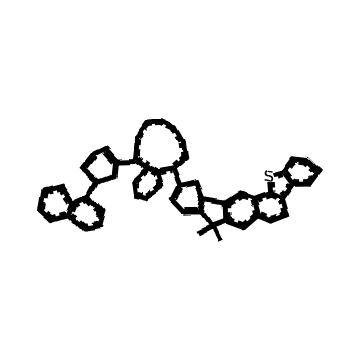 CC1(C)C2=CC=C(c3ccccccc(C4=CC=CC(c5cccc6ccccc56)C4)c4ccccc34)CC2c2cc3c(ccc4c5ccccc5sc34)cc21